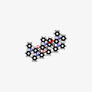 c1ccc(-c2ccccc2N2c3cc4c(cc3B3c5ccccc5Oc5c6c(cc2c53)Oc2cc(N(c3ccccc3)c3ccccc3)cc3c2B6c2ccccc2N3c2ccccc2)B2c3ccccc3N(c3ccccc3)c3cc(N(c5ccccc5)c5ccccc5)cc(c32)O4)cc1